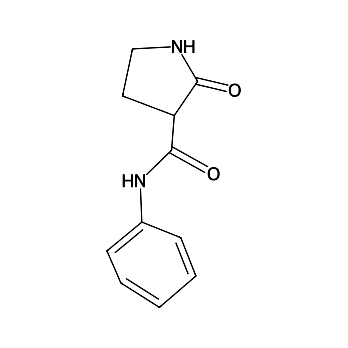 O=C1NCCC1C(=O)Nc1ccccc1